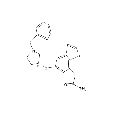 NC(=O)Cc1cc(O[C@@H]2CCN(Cc3ccccc3)C2)cc2ccoc12